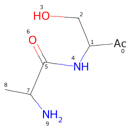 CC(=O)C(CO)NC(=O)C(C)N